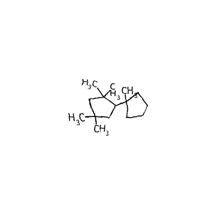 CC1(C)CC(C2(C)CCCC2)C(C)(C)C1